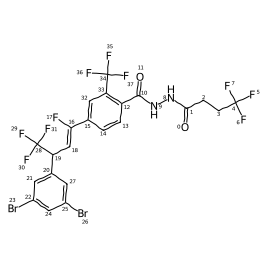 O=C(CCC(F)(F)F)NNC(=O)c1ccc(/C(F)=C/C(c2cc(Br)cc(Br)c2)C(F)(F)F)cc1C(F)(F)F